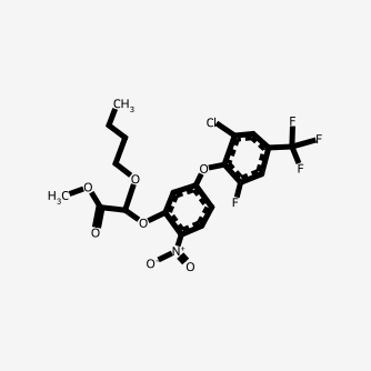 CCCCOC(Oc1cc(Oc2c(F)cc(C(F)(F)F)cc2Cl)ccc1[N+](=O)[O-])C(=O)OC